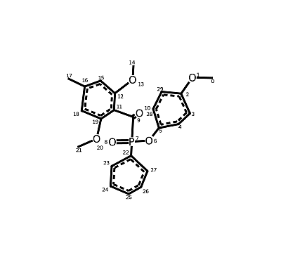 COc1ccc(OP(=O)(C(=O)c2c(OC)cc(C)cc2OC)c2ccccc2)cc1